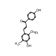 CCOc1cc(O)c(C)cc1/C=C/C(=O)c1ccc(O)cc1